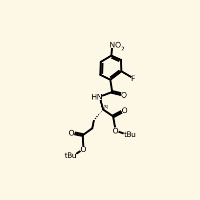 CC(C)(C)OC(=O)CC[C@H](NC(=O)c1ccc([N+](=O)[O-])cc1F)C(=O)OC(C)(C)C